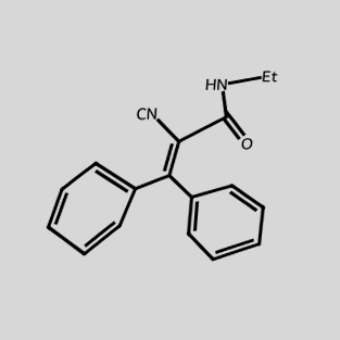 [C-]#[N+]C(C(=O)NCC)=C(c1ccccc1)c1ccccc1